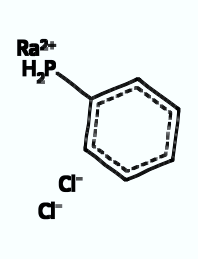 Pc1ccccc1.[Cl-].[Cl-].[Ra+2]